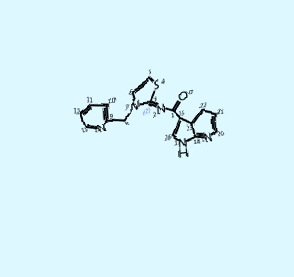 O=C(/N=c1\sccn1Cc1ccccn1)c1c[nH]c2ncccc12